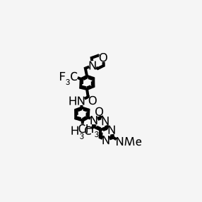 CNc1ncc2c(C)n(-c3cc(NC(=O)c4ccc(CN5CCOCC5)c(C(F)(F)F)c4)ccc3C)c(=O)nc2n1